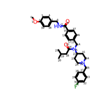 COc1ccc(CNC(=O)c2ccc(CN(C(=O)CC(C)C)C3CCN(Cc4ccc(F)cc4)CC3)cc2)cc1